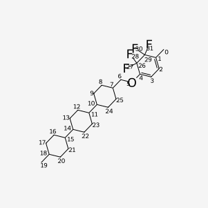 CC1=CC=C(OCC2CCC(C3CCC(C4CCC(C)CC4)CC3)CC2)C(F)(F)C1(F)F